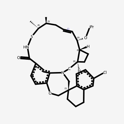 CC(C)O[C@H]1/C=C/C[C@H](C)[C@@H](C)SNC(=O)c2ccc3c(c2)N(C[C@@H]2CC[C@H]21)C[C@@]1(CCCc2cc(Cl)ccc21)CO3